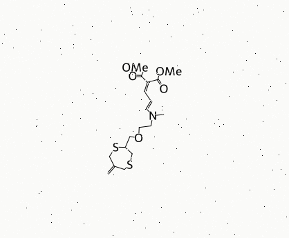 C=C1CSCC(COCCN(C)/C=C/C=C(C(=O)OC)C(=O)OC)SC1